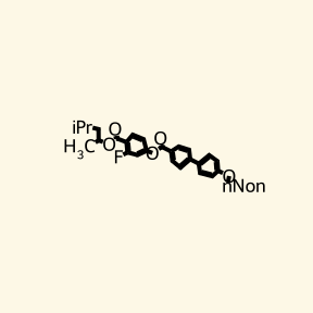 CCCCCCCCCOc1ccc(-c2ccc(C(=O)Oc3ccc(C(=O)OC(C)CC(C)C)c(F)c3)cc2)cc1